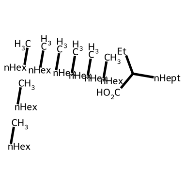 CCCCCCC.CCCCCCC.CCCCCCC.CCCCCCC.CCCCCCC.CCCCCCC.CCCCCCC.CCCCCCC.CCCCCCCC(CC)C(=O)O